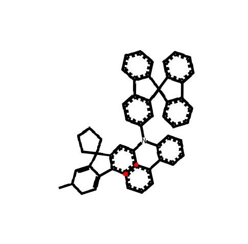 CC1C=C2C(=CC1)c1ccc(N(c3ccc4c(c3)C3(c5ccccc5-c5ccccc53)c3ccccc3-4)c3ccccc3-c3ccccc3)cc1C21CCCC1